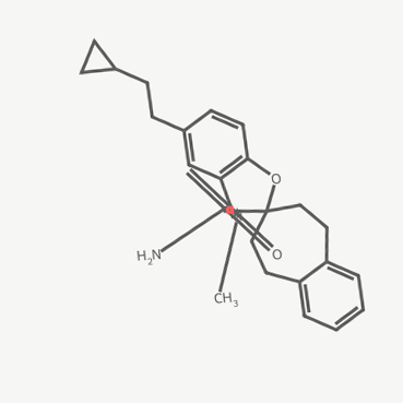 CN1C(=O)C2(N=C1N)c1cc(CCC3CC3)ccc1OC21CCc2ccccc2CC1